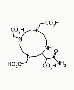 NC(=O)C(C(=O)O)C1CN(CC(=O)O)CCN(CC(=O)O)CCN(CC(=O)O)CCN1